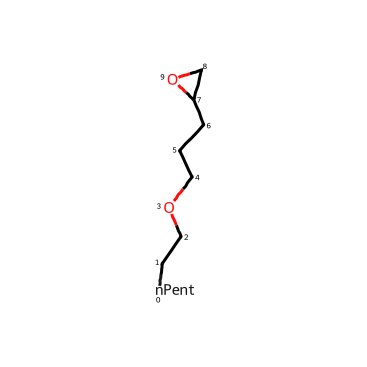 [CH2]CCCCCCOCCCC1CO1